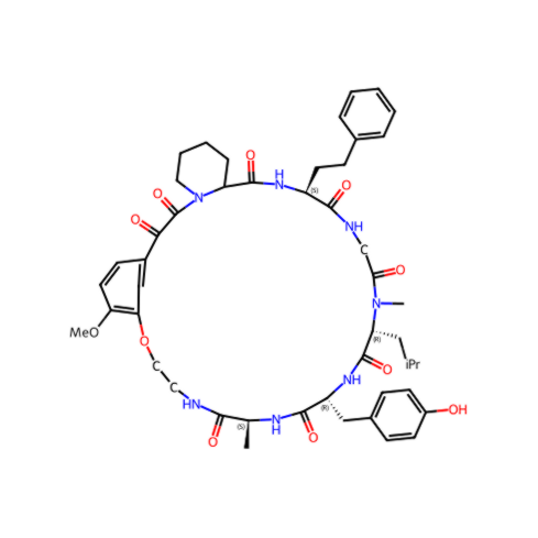 COc1ccc2cc1OCCNC(=O)[C@H](C)NC(=O)[C@@H](Cc1ccc(O)cc1)NC(=O)[C@@H](CC(C)C)N(C)C(=O)CNC(=O)[C@H](CCc1ccccc1)NC(=O)C1CCCCN1C(=O)C2=O